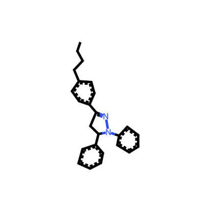 CCCCc1ccc(C2=NN(c3ccccc3)C(c3ccccc3)C2)cc1